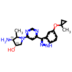 CC1[C@H](N)[C@@H](O)CN1c1cc(-c2n[nH]c3ccc(OC4(C)CC4)cc23)ncn1